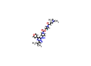 CC(C)c1cnn2c(NC3CCN(C(=O)OCC4(F)CN(C(=O)/C=C/CN(C)C)C4)CC3)cc(C3CCOCC3)nc12